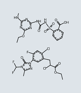 CCOC(=O)C(Cl)Cc1cc(-n2nc(C)n(C(F)F)c2=O)c(F)cc1Cl.CCOc1nc(NC)nc(NC(=O)NS(=O)(=O)c2ccccc2C(=O)O)n1